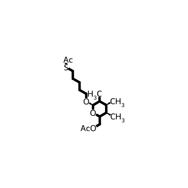 CC(=O)OCC1O[C@@H](OCCCCCSC(C)=O)C(C)[C@@H](C)[C@H]1C